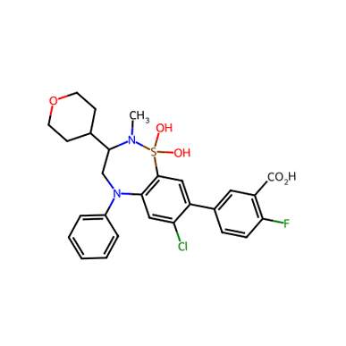 CN1C(C2CCOCC2)CN(c2ccccc2)c2cc(Cl)c(-c3ccc(F)c(C(=O)O)c3)cc2S1(O)O